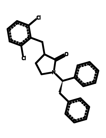 O=C1C(Cc2c(Cl)cccc2Cl)CCN1[C@@H](Cc1ccccc1)c1ccccc1